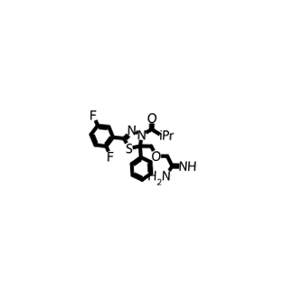 CC(C)C(=O)N1N=C(c2cc(F)ccc2F)SC1(COCC(=N)N)c1ccccc1